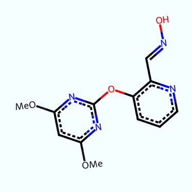 COc1cc(OC)nc(Oc2cccnc2C=NO)n1